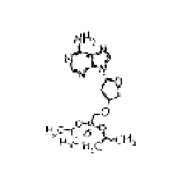 CC(C)OP(=O)(CO[C@H]1CO[C@@H](n2cnc3c(N)ncnc32)C1)OC(C)C